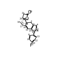 C[C@]12Cc3cnn(-c4ccc(F)cc4)c3C=C1CC[C@@]21CCC(=O)O1